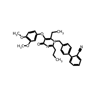 CCCc1nc(=O)c(Oc2ccc(OC)c(OC)c2)c(CC)n1Cc1ccc(-c2ccccc2C#N)cc1